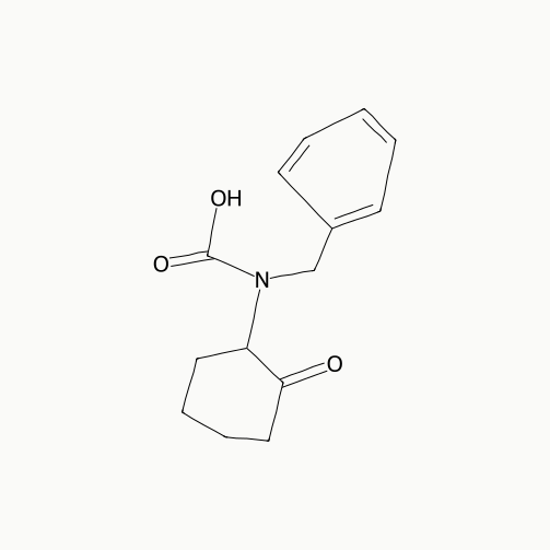 O=C1CCCCC1N(Cc1ccccc1)C(=O)O